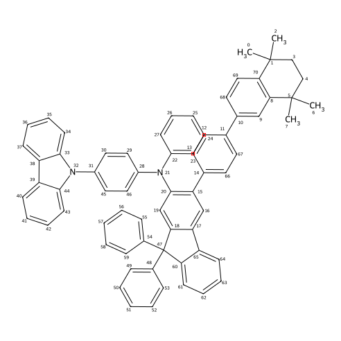 CC1(C)CCC(C)(C)c2cc(-c3ccc(-c4cc5c(cc4N(c4ccccc4)c4ccc(-n6c7ccccc7c7ccccc76)cc4)C(c4ccccc4)(c4ccccc4)c4ccccc4-5)cc3)ccc21